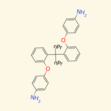 CCCC(CCC)(c1ccccc1Oc1ccc(N)cc1)c1ccccc1Oc1ccc(N)cc1